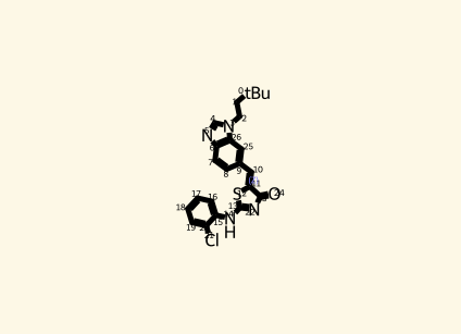 CC(C)(C)CCn1cnc2ccc(/C=C3\SC(Nc4ccccc4Cl)=NC3=O)cc21